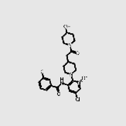 O=C(Nc1cc(Cl)c[n+]([O-])c1N1CCC(CC(=O)N2CCC(O)CC2)CC1)c1cccc(Cl)c1